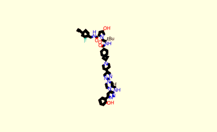 C#Cc1ccc(CNC(=O)[C@@H]2C[C@@H](O)CN2C(=O)[C@@H](NC(=O)[C@H]2CCC3(CC2)C[C@H](N2CCC(c4cnc(N5CCN6c7cc(-c8ccccc8O)nnc7NC[C@H]6C5)nc4)CC2)C3)C(C)(C)C)c(F)c1